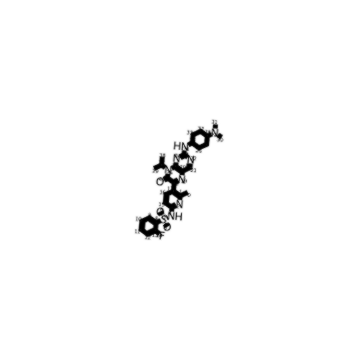 Cc1nc(NS(=O)(=O)c2ccccc2F)ccc1-c1nc2cnc(NC3CCC(N(C)C)CC3)nc2n(C(C)C)c1=O